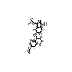 N#Cc1cnc2c(c1)CCCC2Oc1ccc2[nH]nc(C3CC3)c2c1